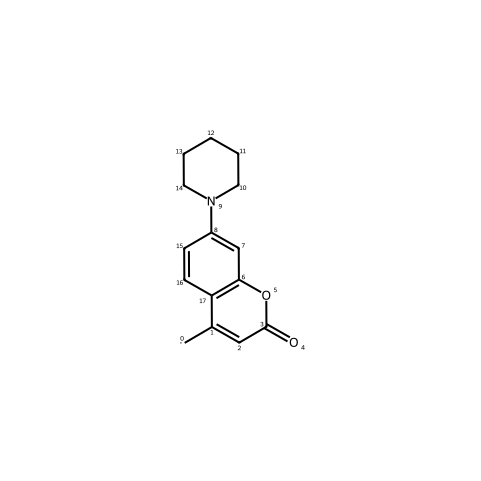 [CH2]c1cc(=O)oc2cc(N3CCCCC3)ccc12